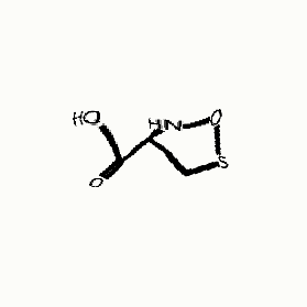 O=C(O)C1CSON1